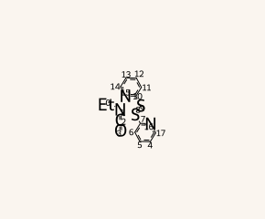 CCN=C=O.c1ccc(SSc2ccccn2)nc1